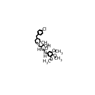 COc1cc(NC(=O)NC(CN2CCC(Cc3ccc(Cl)cc3)CC2)C(C)O)cc(OC)c1OC